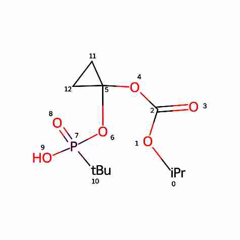 CC(C)OC(=O)OC1(OP(=O)(O)C(C)(C)C)CC1